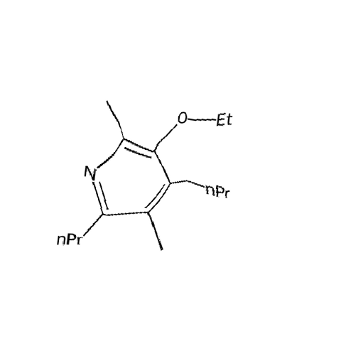 CCCc1nc(C)c(OCC)c(CCC)c1C